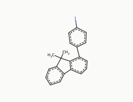 CC1(C)c2ccccc2-c2cccc(-c3ccc(I)cc3)c21